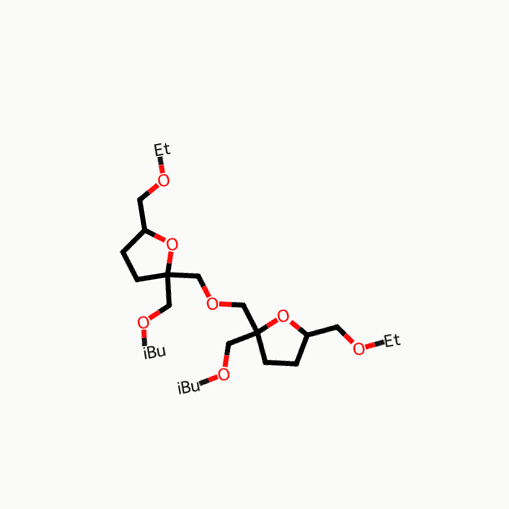 CCOCC1CCC(COCC2(COC(C)CC)CCC(COCC)O2)(COC(C)CC)O1